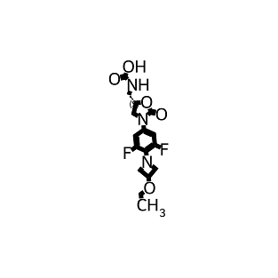 CCOC1CN(c2c(F)cc(N3C[C@H](CNC(=O)O)OC3=O)cc2F)C1